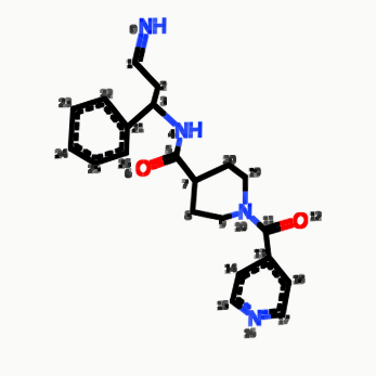 N=CCC(NC(=O)C1CCN(C(=O)c2ccncc2)CC1)c1ccccc1